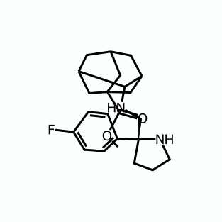 COC(=O)C12CC3CC(C1)C(NC[C@]1(c4ccc(F)cc4)CCCN1)C(C3)C2